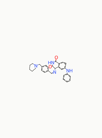 O=C1NC(=O)C(/N=C\c2ccc(CN3CCCCC3)cc2)c2cc(Nc3ccccc3)ccc21